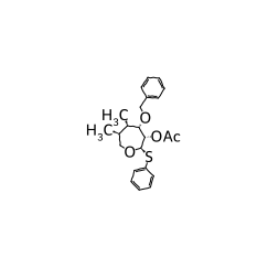 CC(=O)O[C@H]1[C@@H](OCc2ccccc2)[C@H](C)[C@H](C)CO[C@@H]1Sc1ccccc1